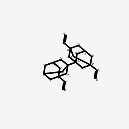 C=CC12CC3CC(C1)CC(C14CC5CC(C=C)(CC(C=C)(C5)C1)C4)(C3)C2